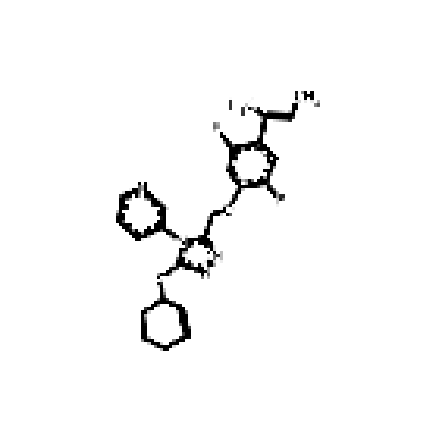 C/C=C(\C)c1cc(F)c(OCc2nnc(SC3C=CCCC3)n2-c2cccnc2)cc1F